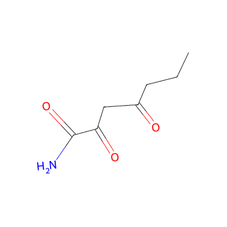 CCCC(=O)CC(=O)C(N)=O